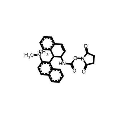 CN(C)c1ccc2ccccc2c1C1c2ccccc2C=CC1NC(=O)ON1C(=O)CCC1=O